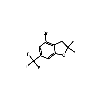 CC1(C)Cc2c(Br)cc(C(F)(F)F)cc2O1